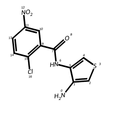 Nc1cscc1NC(=O)c1cc([N+](=O)[O-])ccc1Cl